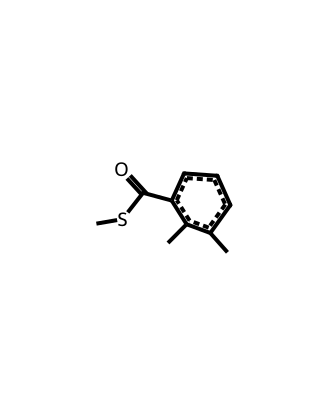 CSC(=O)c1cccc(C)c1C